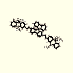 CN1c2ccccc2C(C)(C)c2ccc(/C=C/c3ccc4c(c3)C3(c5ccccc5-c5ccccc53)c3cc(/C=C/c5ccc6c(c5)N(C)c5ccccc5C6(C)C)ccc3-4)cc21